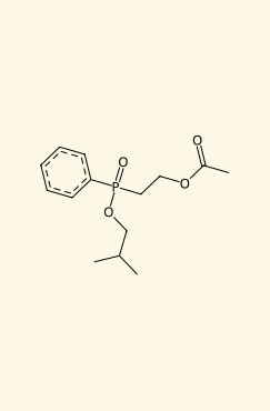 CC(=O)OCCP(=O)(OCC(C)C)c1ccccc1